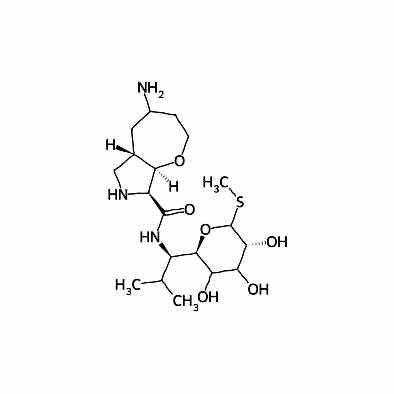 CSC1O[C@H]([C@H](NC(=O)[C@H]2NC[C@@H]3CC(N)CCO[C@H]32)C(C)C)C(O)C(O)[C@H]1O